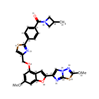 COc1cc(OCc2csc(-c3ccc(C(=O)N4CC(C)C4)cc3)n2)c2cc(-c3cn4nc(OC)sc4n3)oc2c1